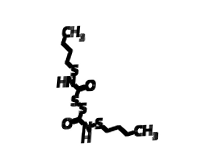 CCCCSNC(=O)SSC(=O)NSCCCC